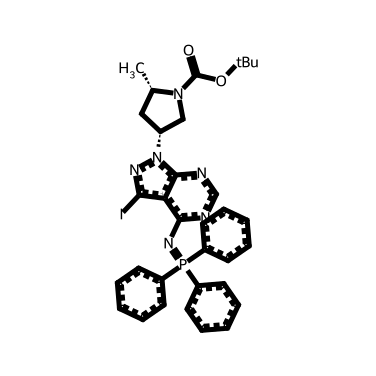 C[C@H]1C[C@@H](n2nc(I)c3c(N=P(c4ccccc4)(c4ccccc4)c4ccccc4)ncnc32)CN1C(=O)OC(C)(C)C